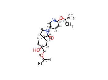 CCC(CC)OC[C@]1(O)CC[C@@]2(CCN(c3ccc(O[C@@H](C)C(F)(F)F)nc3)C2=O)CC1